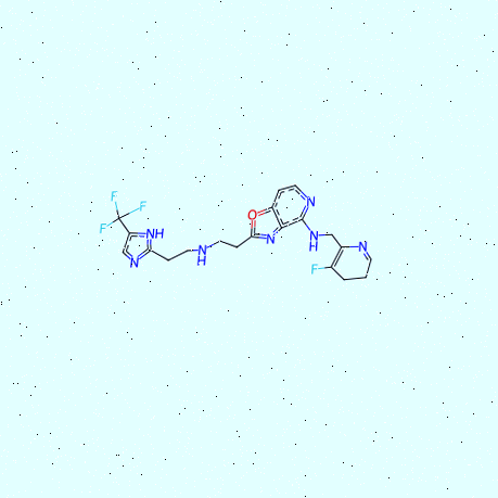 FC1=C(CNc2nccc3oc(CCNCCc4ncc(C(F)(F)F)[nH]4)nc23)N=CCC1